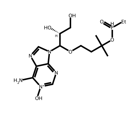 CC[PH](=O)OC(C)(C)CCOC([C@H](O)CO)n1cnc2c(N)[n+](O)cnc21